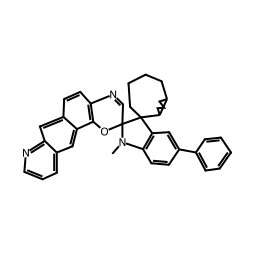 CN1c2ccc(-c3ccccc3)cc2C2(CCCCC3CCCC32)C12C=Nc1ccc3cc4ncccc4cc3c1O2